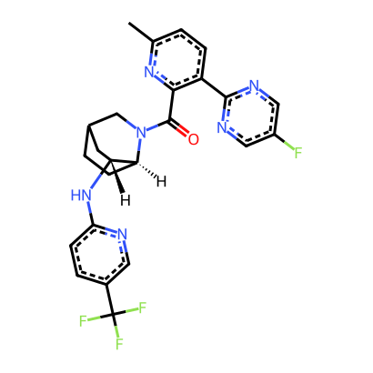 Cc1ccc(-c2ncc(F)cn2)c(C(=O)N2CC3CC[C@H]2[C@H](Nc2ccc(C(F)(F)F)cn2)C3)n1